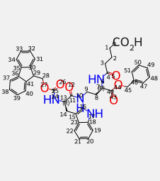 O=C(O)CCCC(=O)N[C@H](CCNC(=O)[C@@H](Cc1c[nH]c2ccccc12)NC(=O)OCC1c2ccccc2-c2ccccc21)C(=O)OCc1ccccc1